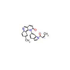 C/C=C\C(=O)n1ccc2ccc(-n3c(=O)ccc4cnc5ccc(C)cc5c43)cc21